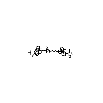 C=C(C)C(=O)OCCCCCCCOC(=O)C=Cc1ccc(OC)c(OC)c1